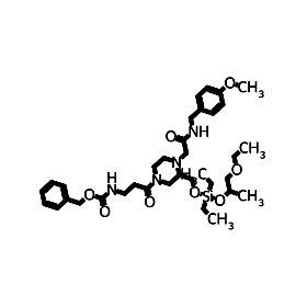 CCOCC(C)O[Si](CC)(CC)OCC1CN(C(=O)CCNC(=O)OCc2ccccc2)CCN1CC(=O)NCc1ccc(OC)cc1